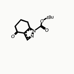 CC(C)(C)OC(=O)n1ncc2c1CCCC2=O